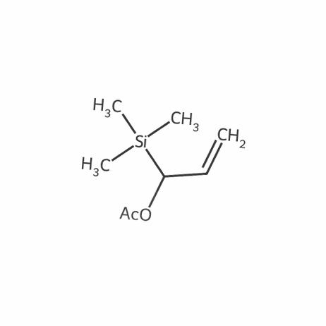 C=CC(OC(C)=O)[Si](C)(C)C